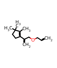 C=CCOCC(=C)C1=C(C)C(C)(C)CC1